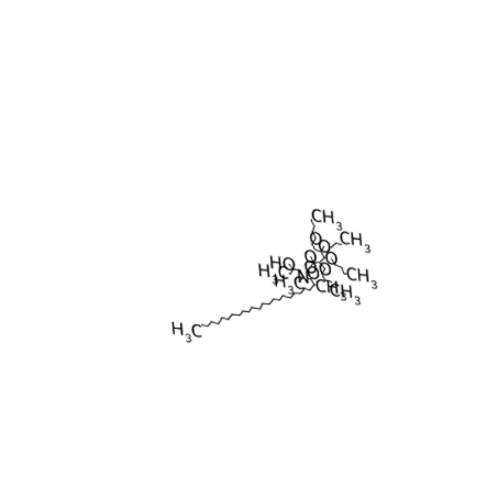 CCCCCCCCCCCCCCCCCCCCCCCC(C)C(=O)N(C)[C@@H](COC1OC(COCCCC)C(OCCCC)C(OCCCC)C1OCCCC)[C@H](O)CC